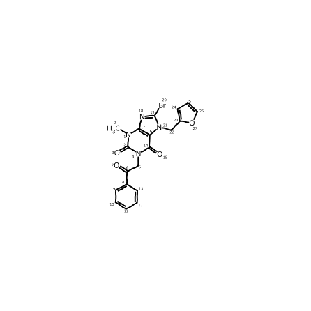 Cn1c(=O)n(CC(=O)c2ccccc2)c(=O)c2c1nc(Br)n2Cc1ccco1